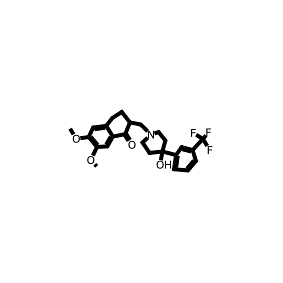 COc1cc2c(cc1OC)C(=O)C(CN1CCC(O)(c3cccc(C(F)(F)F)c3)CC1)CC2